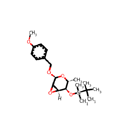 COc1ccc(CO[C@H]2O[C@H](C)[C@@H](O[Si](C)(C)C(C)(C)C)[C@H]3OC23)cc1